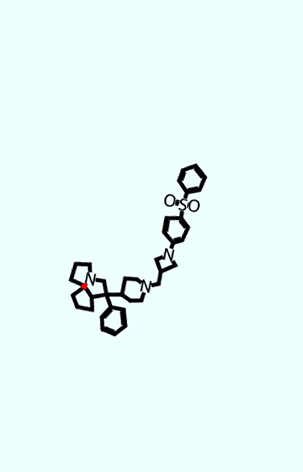 O=S(=O)(c1ccccc1)c1ccc(N2CC(CN3CCC(C(CN4CCCC4)(c4ccccc4)C4CCCC4)CC3)C2)cc1